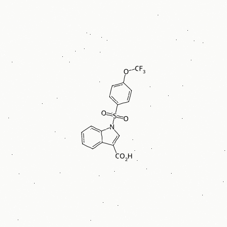 O=C(O)c1cn(S(=O)(=O)c2ccc(OC(F)(F)F)cc2)c2ccccc12